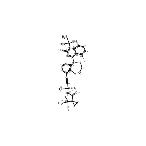 BC(B)(B)n1c(=O)nc(N2CCOCc3c(C#CC(C)(C)NC(=O)C4(C(C)(F)F)CC4)cccc32)c2c(F)cccc21